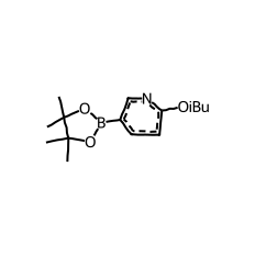 CC(C)COc1ccc(B2OC(C)(C)C(C)(C)O2)cn1